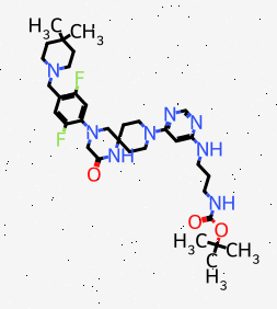 CC1(C)CCN(Cc2cc(F)c(N3CC(=O)NC4(CCN(c5cc(NCCCNC(=O)OC(C)(C)C)ncn5)CC4)C3)cc2F)CC1